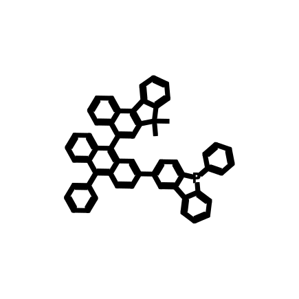 CC1(C)c2ccccc2-c2c1cc(-c1c3ccccc3c(-c3ccccc3)c3ccc(-c4ccc5c(c4)c4ccccc4p5-c4ccccc4)cc13)c1ccccc21